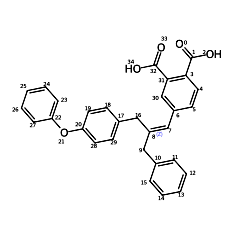 O=C(O)c1ccc(/C=C(/Cc2ccccc2)Cc2ccc(Oc3ccccc3)cc2)cc1C(=O)O